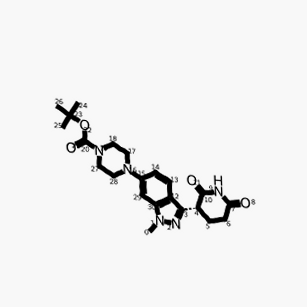 Cn1nc([C@H]2CCC(=O)NC2=O)c2ccc(N3CCN(C(=O)OC(C)(C)C)CC3)cc21